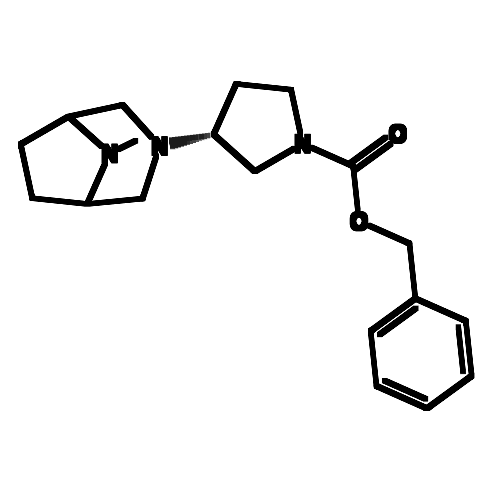 CN1C2CCC1CN([C@@H]1CCN(C(=O)OCc3ccccc3)C1)C2